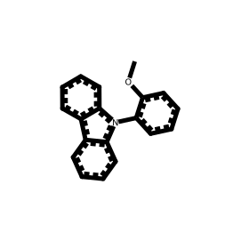 COc1ccccc1-n1c2ccccc2c2ccccc21